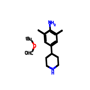 CC(C)(C)OC=O.Cc1cc(C2CCNCC2)cc(C)c1N